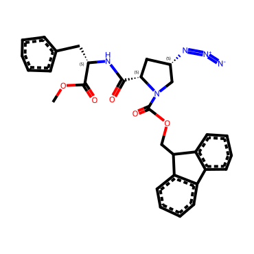 COC(=O)[C@H](Cc1ccccc1)NC(=O)[C@@H]1C[C@H](N=[N+]=[N-])CN1C(=O)OCC1c2ccccc2-c2ccccc21